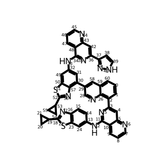 c1cc(-c2cc3ncccc3c(Nc3ccc4nc(C5CC5)sc4c3)n2)c2ncc(-c3cc(Nc4nc(-c5cc[nH]n5)cc5ncccc45)cc4sc(C5CC5)nc34)cc2c1